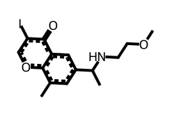 COCCNC(C)c1cc(C)c2occ(I)c(=O)c2c1